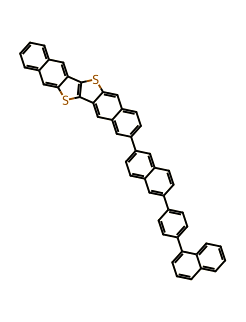 c1ccc2cc3c(cc2c1)sc1c2cc4cc(-c5ccc6cc(-c7ccc(-c8cccc9ccccc89)cc7)ccc6c5)ccc4cc2sc31